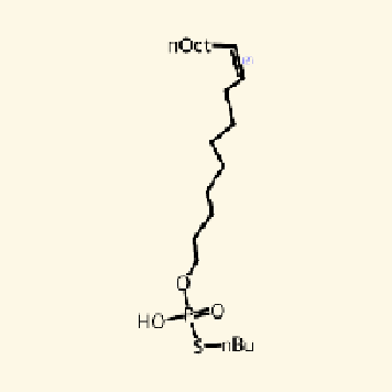 CCCCCCCC/C=C\CCCCCCCCOP(=O)(O)SCCCC